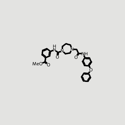 COC(=O)c1cccc(NC(=O)N2CCCN(CC(=O)Nc3ccc(Oc4ccccc4)cc3)CC2)c1